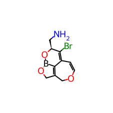 NC[C@@H]1OB2OCC3=C2C(=C1Br)C=COC3